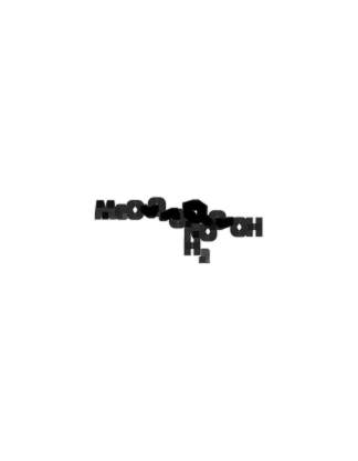 COCCOCCOc1cccc(C(=O)OCCO)c1N